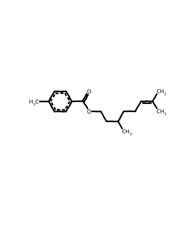 CC(C)=CCCC(C)CCOC(=O)c1ccc(C)cc1